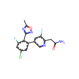 Cc1nc(-c2c(F)cc(Cl)cc2-c2cnc([CH]C(N)=O)c(F)c2)no1